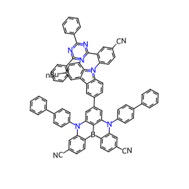 CCCCc1ccc2c(c1)c1cc(-c3cc4c5c(c3)N(c3ccc(-c6ccccc6)cc3)c3cc(C#N)ccc3B5c3ccc(C#N)cc3N4c3ccc(-c4ccccc4)cc3)ccc1n2-c1ccc(C#N)cc1-c1nc(-c2ccccc2)nc(-c2ccccc2)n1